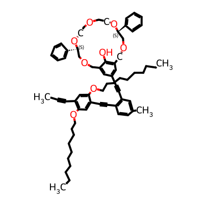 CC#Cc1cc(OCCCCCCCCCC)c(C#Cc2ccc(C)cc2C#Cc2cc3c(O)c(c2)COC[C@H](c2ccccc2)OCCOCCO[C@@H](c2ccccc2)COC3)cc1OCCCCCCCCCC